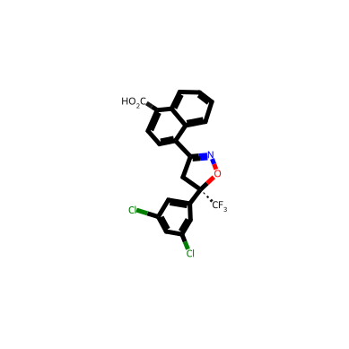 O=C(O)c1ccc(C2=NO[C@](c3cc(Cl)cc(Cl)c3)(C(F)(F)F)C2)c2ccccc12